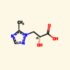 Cc1ncnn1C[C@@H](O)C(=O)O